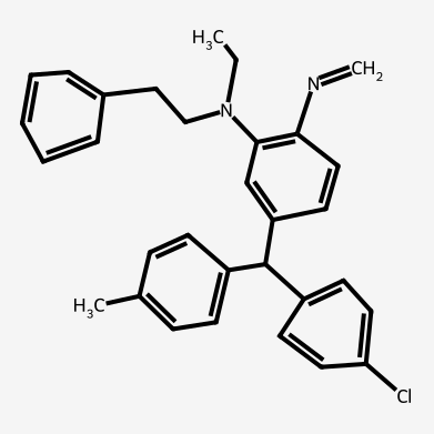 C=Nc1ccc(C(c2ccc(C)cc2)c2ccc(Cl)cc2)cc1N(CC)CCc1ccccc1